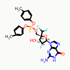 Cc1ccc(OP(=S)(OC[C@@]2(C(F)F)O[C@@H](n3cnc4c(=O)[nH]c(N)nc43)[C@H](F)[C@@H]2O)Oc2ccc(C)cc2)cc1